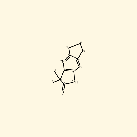 CC1(C)C(=O)Nc2cc3c(nc21)CCC3